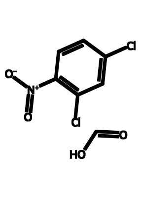 O=CO.O=[N+]([O-])c1ccc(Cl)cc1Cl